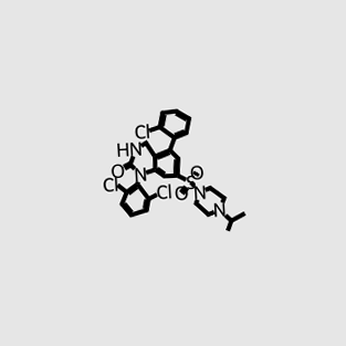 CC(C)N1CCN(S(=O)(=O)c2cc(-c3ccccc3Cl)c3c(c2)N(c2c(Cl)cccc2Cl)C(=O)NC3)CC1